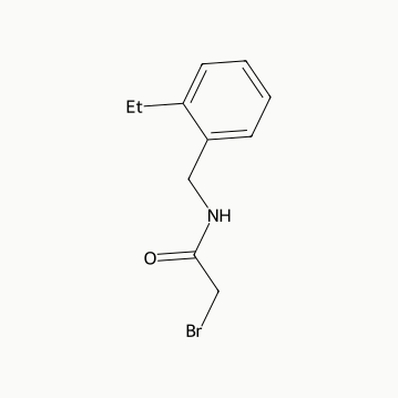 CCc1ccccc1CNC(=O)CBr